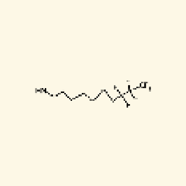 [NH]CCCCCCCC(F)(F)C(F)(F)C(F)(F)F